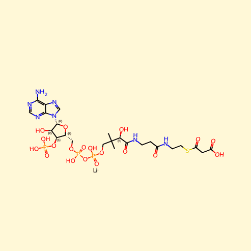 CC(C)(COP(=O)(O)OP(=O)(O)OC[C@H]1O[C@@H](n2cnc3c(N)ncnc32)[C@H](O)[C@@H]1OP(=O)(O)O)[C@@H](O)C(=O)NCCC(=O)NCCSC(=O)CC(=O)O.[Li]